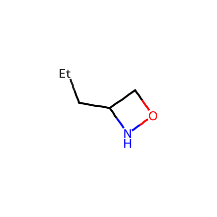 CCCC1CON1